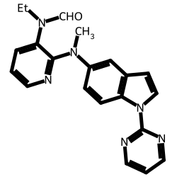 CCN(C=O)c1cccnc1N(C)c1ccc2c(ccn2-c2ncccn2)c1